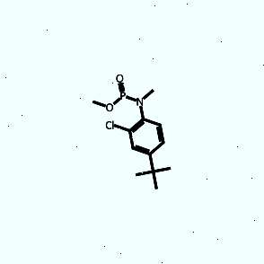 CO[P](=O)N(C)c1ccc(C(C)(C)C)cc1Cl